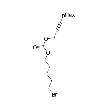 CCCCCCC#CCOC(=O)OCCCCCBr